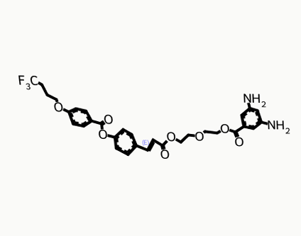 Nc1cc(N)cc(C(=O)OCCOCCOC(=O)/C=C/c2ccc(OC(=O)c3ccc(OCCCC(F)(F)F)cc3)cc2)c1